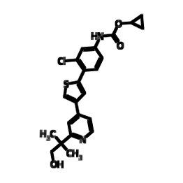 CC(C)(CO)c1cc(-c2csc(-c3ccc(NC(=O)OC4CC4)cc3Cl)c2)ccn1